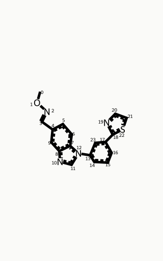 CON=Cc1ccc2c(c1)ncn2-c1cccc(-c2nccs2)c1